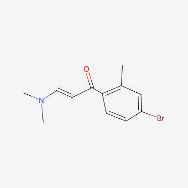 Cc1cc(Br)ccc1C(=O)/C=C/N(C)C